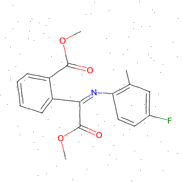 COC(=O)C(=Nc1ccc(F)cc1C)c1ccccc1C(=O)OC